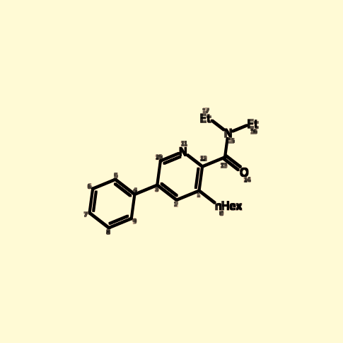 CCCCCCc1cc(-c2ccccc2)cnc1C(=O)N(CC)CC